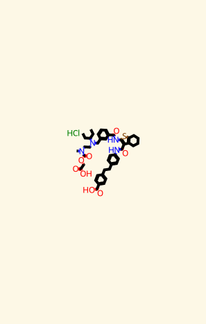 CCC(CC)N(CCN(C)C(=O)OCC(=O)O)Cc1cccc(C(=O)Nc2sc3c(c2C(=O)Nc2ccc(CCc4ccc(C(=O)O)cc4)cc2)CCCC3)c1.Cl